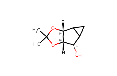 CC1(C)O[C@@H]2[C@H](O1)C1CC1[C@@H]2O